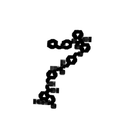 O=C(NCc1ccc(COc2cccc([C@](O)(C(=O)OC3CCN(Cc4ccccc4)CC3)c3ccccc3)c2)cc1)Nc1ccc(CNC[C@H](O)c2ccc(O)c3[nH]c(=O)ccc23)cc1